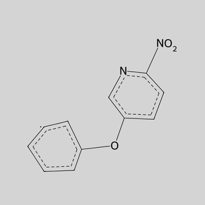 O=[N+]([O-])c1ccc(Oc2c[c]ccc2)cn1